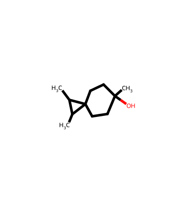 CC1C(C)C12CCC(C)(O)CC2